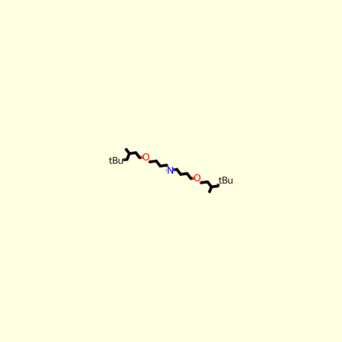 CC(CCOCCCC[N]CCCCOCCC(C)CC(C)(C)C)CC(C)(C)C